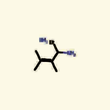 CCC(N)C(C)=C(C)C.N